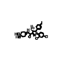 Cc1c(C(=O)NN2CCS(O)(O)CC2)nn(-c2ccc(Cl)cc2Cl)c1-c1ccc(I)cc1